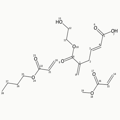 C=C(CC=CC(=O)O)C(=O)OCCO.C=CC(=O)OC.C=CC(=O)OCCCC